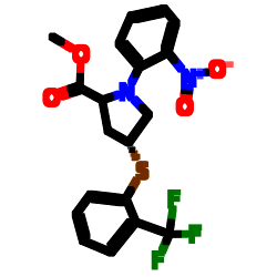 COC(=O)C1C[C@@H](Sc2ccccc2C(F)(F)F)CN1c1ccccc1[N+](=O)[O-]